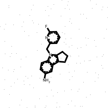 Nc1ccc2c(c1)c1c(n2Cc2cccc(F)n2)CCC1